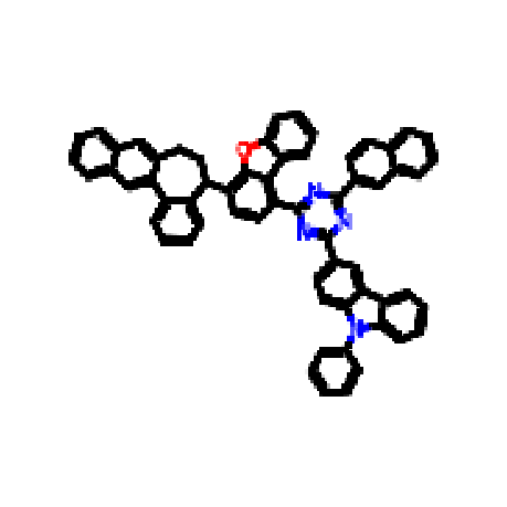 c1ccc(-n2c3ccccc3c3cc(-c4nc(-c5ccc6ccccc6c5)nc(-c5ccc(C6CCc7cc8ccccc8cc7-c7ccccc76)c6oc7ccccc7c56)n4)ccc32)cc1